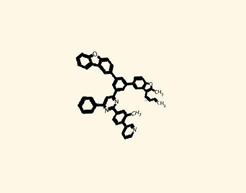 C=C/C=C\c1c(C)oc2ccc(-c3cc(-c4ccc5oc6ccccc6c5c4)cc(-c4cc(-c5ccccc5)nc(-c5ccc(-c6cccnc6)c(C)c5)n4)c3)cc12